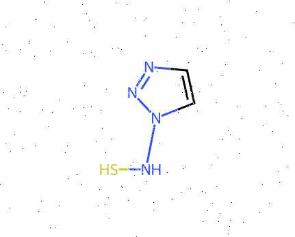 SNn1ccnn1